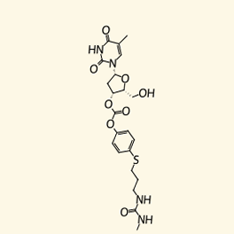 CNC(=O)NCCCSc1ccc(OC(=O)O[C@@H]2C[C@H](n3cc(C)c(=O)[nH]c3=O)O[C@@H]2CO)cc1